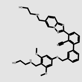 COc1cc(OCc2cccc(-c3cccc(-c4nc5ccc(CNCCO)cn5n4)c3C#N)c2)cc(OC)c1CNCCO